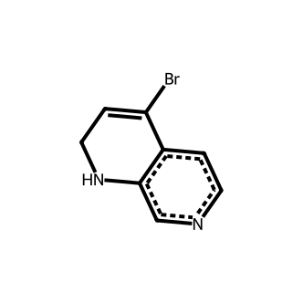 BrC1=CCNc2cnccc21